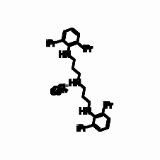 CC(C)c1cccc(C(C)C)c1NCCCNCCCNc1c(C(C)C)cccc1C(C)C.[Cl-].[Cl-].[Co+2]